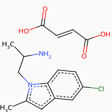 Cc1cc2cc(Cl)ccc2n1CC(C)N.O=C(O)C=CC(=O)O